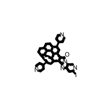 O=c1c2c3cc(-c4ccncc4)c4ccc5ccc6c(-c7ccncc7)cc(c7c6c5c4c37)c2c2nc3cc(I)ncc3n12